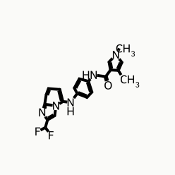 Cc1cn(C)cc1C(=O)Nc1ccc(Nc2cccc3nc(C(F)F)cn23)cc1